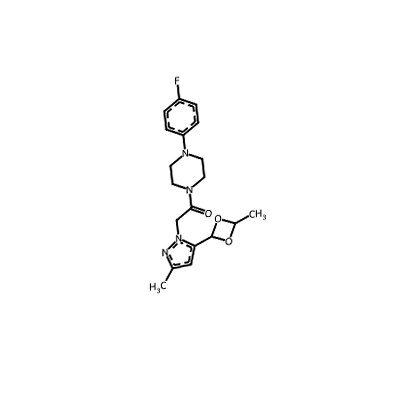 Cc1cc(C2OC(C)O2)n(CC(=O)N2CCN(c3ccc(F)cc3)CC2)n1